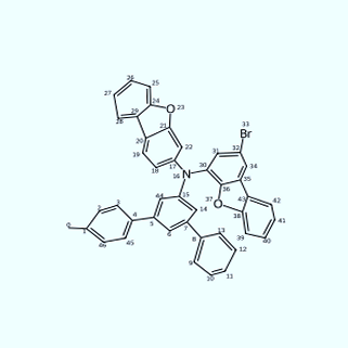 Cc1ccc(-c2cc(-c3ccccc3)cc(N(c3ccc4c(c3)oc3ccccc34)c3cc(Br)cc4c3oc3ccccc34)c2)cc1